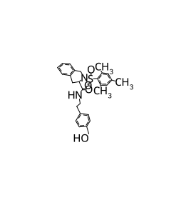 Cc1cc(C)c(S(=O)(=O)N2Cc3ccccc3CC2C(=O)NCCc2ccc(CO)cc2)c(C)c1